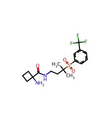 CC(C)(CCNC(=O)C1(N)CCC1)S(=O)(=O)c1cccc(C(F)(F)F)c1